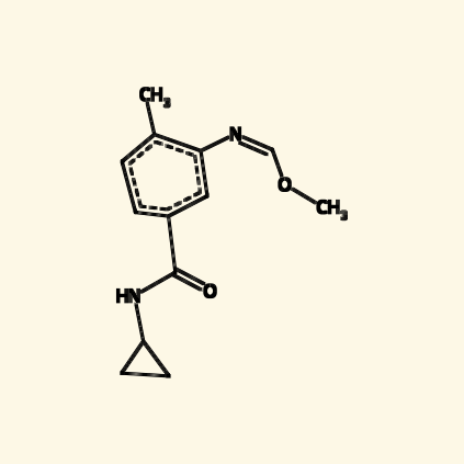 CO/C=N\c1cc(C(=O)NC2CC2)ccc1C